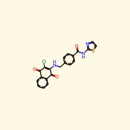 O=C(Nc1nccs1)c1ccc(CNC2=C(Cl)C(=O)c3ccccc3C2=O)cc1